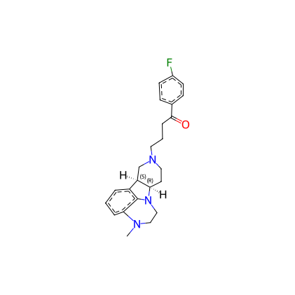 CN1CCN2c3c(cccc31)[C@H]1CN(CCCC(=O)c3ccc(F)cc3)CC[C@H]12